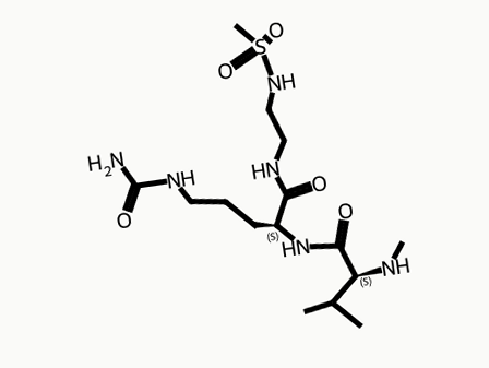 CN[C@H](C(=O)N[C@@H](CCCNC(N)=O)C(=O)NCCNS(C)(=O)=O)C(C)C